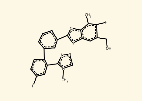 Cc1c(F)c(CO)cc2nc(-c3cccc(-c4ccc(F)cc4-c4nncn4C)c3)oc12